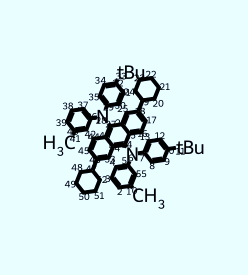 Cc1cccc(N(c2ccc(C(C)(C)C)cc2)c2c3ccc(C4CCCCC4)cc3c(N(c3ccc(C(C)(C)C)cc3)c3cccc(C)c3)c3ccc(C4CCCCC4)cc23)c1